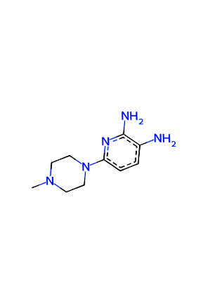 CN1CCN(c2ccc(N)c(N)n2)CC1